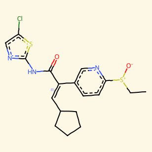 CC[S+]([O-])c1ccc(/C(=C\C2CCCC2)C(=O)Nc2ncc(Cl)s2)cn1